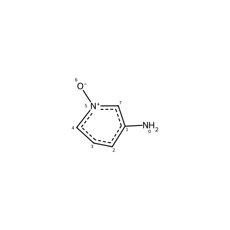 Nc1ccc[n+]([O-])c1